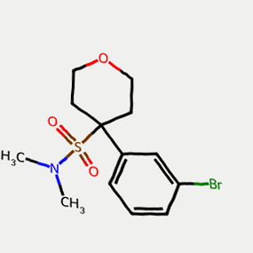 CN(C)S(=O)(=O)C1(c2cccc(Br)c2)CCOCC1